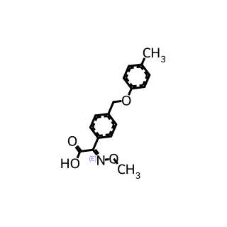 CO/N=C(/C(=O)O)c1ccc(COc2ccc(C)cc2)cc1